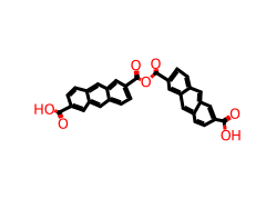 O=C(O)c1ccc2cc3cc(C(=O)OC(=O)c4ccc5cc6cc(C(=O)O)ccc6cc5c4)ccc3cc2c1